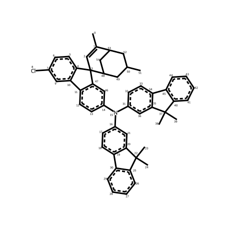 CC1=CC2(c3ccc(Cl)cc3-c3ccc(N(c4ccc5c(c4)C(C)(C)c4ccccc4-5)c4ccc5c(c4)C(C)(C)c4ccccc4-5)cc32)C2CC(C)CC1C2